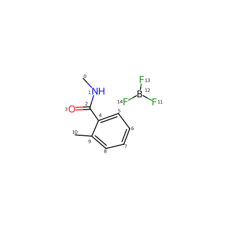 CNC(=O)c1ccccc1C.FB(F)F